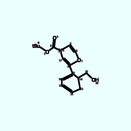 CC(C)(C)OC(=O)N1C=COC(C2=CC=CCC2CO)=C1